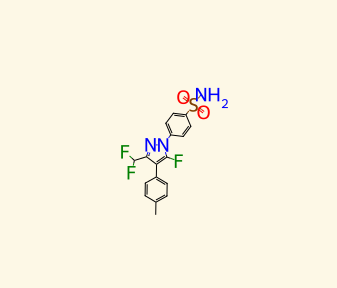 Cc1ccc(-c2c(C(F)F)nn(-c3ccc(S(N)(=O)=O)cc3)c2F)cc1